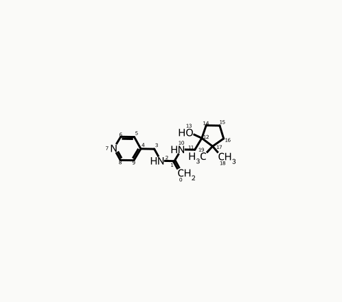 C=C(NCc1ccncc1)NCC1(O)CCCC1(C)C